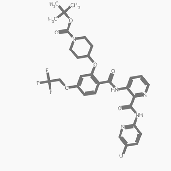 CC(C)(C)OC(=O)N1CCC(Oc2cc(OCC(F)(F)F)ccc2C(=O)Nc2cccnc2C(=O)Nc2ccc(Cl)cn2)CC1